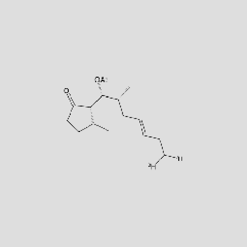 [2H]C([2H])CC=CC[C@@H](C)[C@@H](OC(C)=O)[C@H]1C(=O)CCC1C